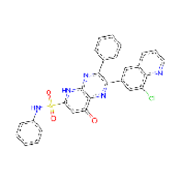 O=c1cc(S(=O)(=O)Nc2ccccc2)[nH]c2nc(-c3ccccc3)c(-c3cc(Cl)c4ncccc4c3)nc12